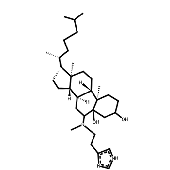 CC(C)CCC[C@@H](C)[C@H]1CC[C@H]2[C@@H]3CC(N(C)CCc4c[nH]cn4)C4(O)CC(O)CC[C@]4(C)[C@H]3CC[C@]12C